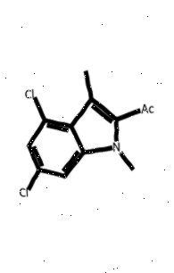 CC(=O)c1c(C)c2c(Cl)cc(Cl)cc2n1C